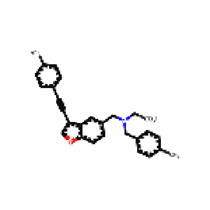 CCCc1ccc(C#Cc2coc3ccc(CN(CC(=O)O)Cc4ccc(C(F)(F)F)cc4)cc23)cc1